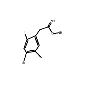 CCOC(=N)Cc1cc(C)c(Br)cc1F